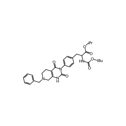 CC(C)OC(=O)C(Cc1ccc(-n2c(=O)[nH]c3c(c2=O)CCN(Cc2ccccc2)C3)cc1)NC(=O)OC(C)(C)C